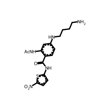 CC(=O)Nc1cc(NCCCCN)ccc1C(=O)Nc1ccc([N+](=O)[O-])s1